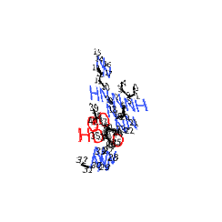 CCC(CC)Nc1nc(NCCc2cn(C)cn2)nc2c1ncn2[C@@H]1O[C@H](c2nnn(CC)n2)[C@@H](O)[C@H]1OC(C)=O